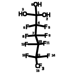 OC(O)(O)C(F)(F)C(F)(F)C(F)(F)C(F)(F)C(F)(F)F